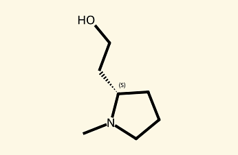 CN1CCC[C@H]1CCO